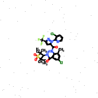 Cc1cc(Cl)cc(C(=O)NC2C(C)(C)S(=O)(=O)C2(C)C)c1NC(=O)c1cc(C(F)(F)F)nn1-c1ncccc1Cl